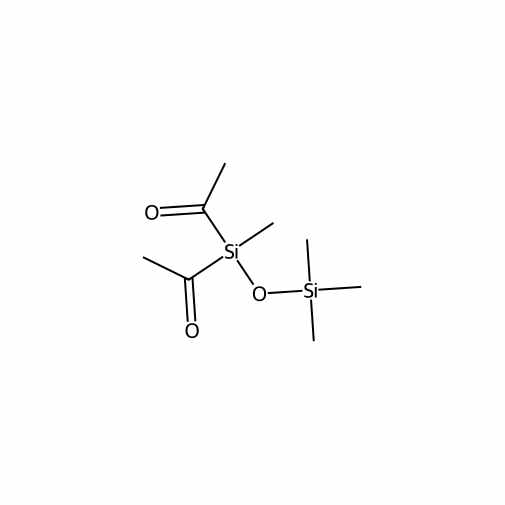 CC(=O)[Si](C)(O[Si](C)(C)C)C(C)=O